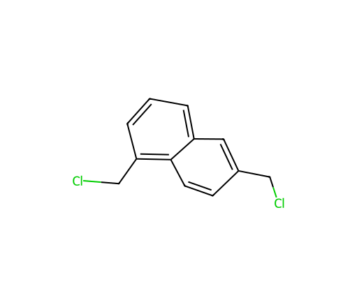 ClCc1ccc2c(CCl)cccc2c1